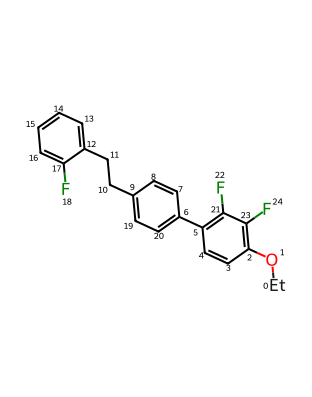 CCOc1ccc(-c2ccc(CCc3ccccc3F)cc2)c(F)c1F